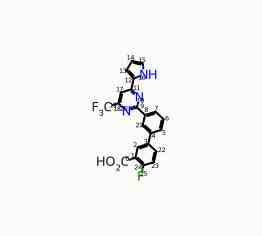 O=C(O)c1cc(-c2cccc(-c3nc(-c4ccc[nH]4)cc(C(F)(F)F)n3)c2)ccc1F